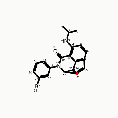 CC(C)Nc1ccc2c3c1C(=O)N(c1cccc(Br)c1)C(C=C2)C3=O